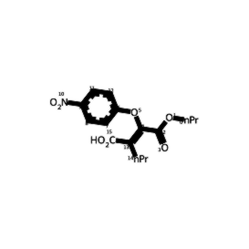 CCCOC(=O)C(Oc1ccc([N+](=O)[O-])cc1)=C(CCC)C(=O)O